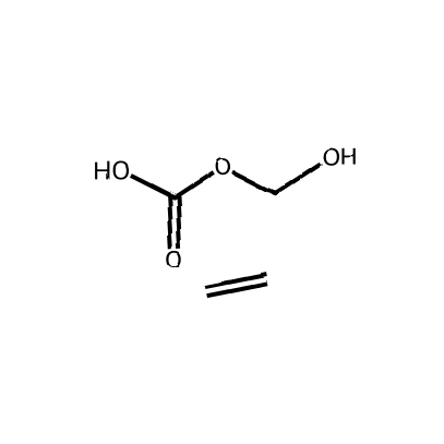 C=C.O=C(O)OCO